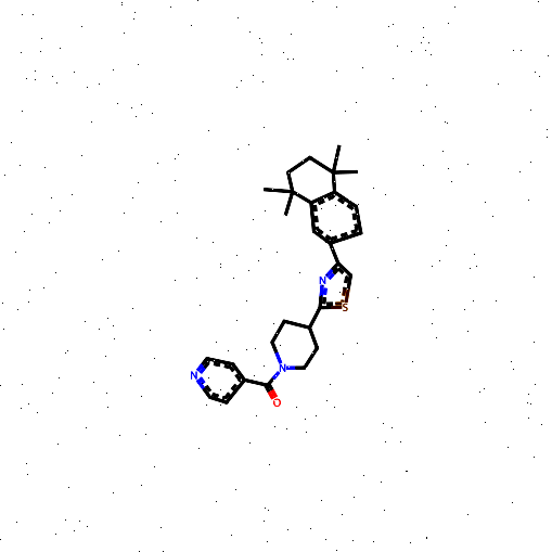 CC1(C)CCC(C)(C)c2cc(-c3csc(C4CCN(C(=O)c5ccncc5)CC4)n3)ccc21